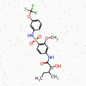 CCC(C)[C@H](O)C(=O)Nc1ccc(S(=O)(=O)Nc2cccc(OC(F)(F)F)c2)c(OC)c1